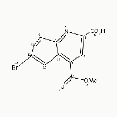 COC(=O)c1cc(C(=O)O)nc2ccc(Br)cc12